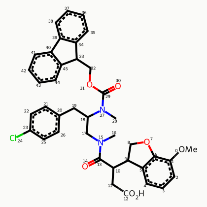 COc1cccc2c1OCC2C(CC(=O)O)C(=O)N(C)CC(Cc1ccc(Cl)cc1)N(C)C(=O)OCC1c2ccccc2-c2ccccc21